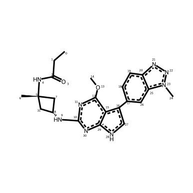 CCC(=O)N[C@]1(C)C[C@H](Nc2nc(OC)c3c(-c4ccc5nnn(C)c5c4)c[nH]c3n2)C1